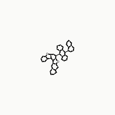 c1ccc2cc3c(cc2c1)oc1c(-c2c4ccccc4c(-c4cccc5ccccc45)c4ccccc24)cc2oc4ccccc4c2c13